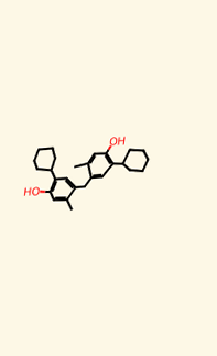 Cc1cc(O)c(C2CCCCC2)cc1Cc1cc(C2CCCCC2)c(O)cc1C